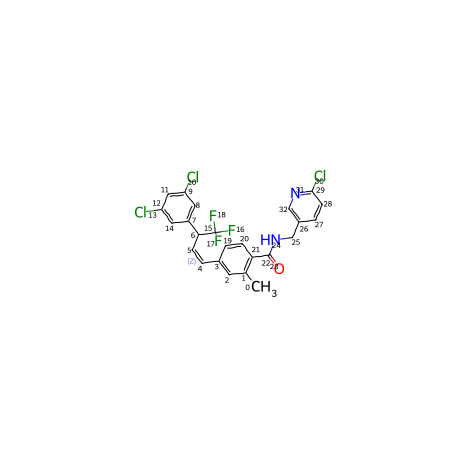 Cc1cc(/C=C\C(c2cc(Cl)cc(Cl)c2)C(F)(F)F)ccc1C(=O)NCc1ccc(Cl)nc1